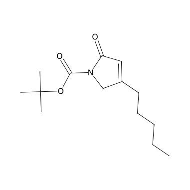 CCCCCC1=CC(=O)N(C(=O)OC(C)(C)C)C1